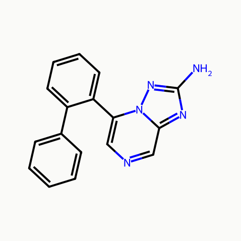 Nc1nc2cncc(-c3ccccc3-c3ccccc3)n2n1